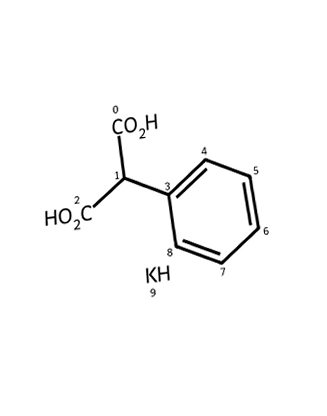 O=C(O)C(C(=O)O)c1ccccc1.[KH]